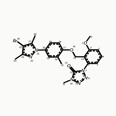 COc1cccc(-n2nnn(C)c2=O)c1COc1ccc(-n2nc(C)c(Br)c2C)cc1C